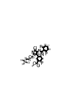 COC(=O)c1cc2c(cc1F)NC(c1c(F)cccc1F)=Nc1c(Cl)nn(COCC[Si](C)(C)C)c1-2